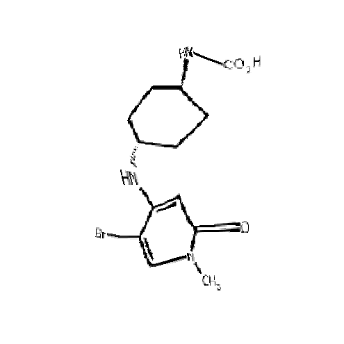 Cn1cc(Br)c(N[C@H]2CC[C@H](NC(=O)O)CC2)cc1=O